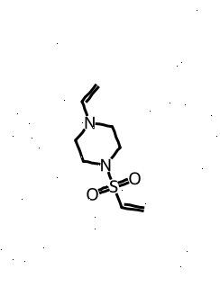 C=CN1CCN(S(=O)(=O)C=C)CC1